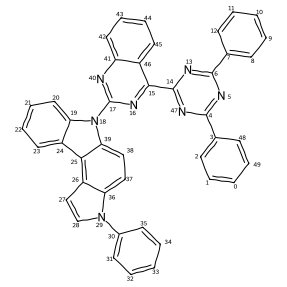 c1ccc(-c2nc(-c3ccccc3)nc(-c3nc(-n4c5ccccc5c5c6ccn(-c7ccccc7)c6ccc54)nc4ccccc34)n2)cc1